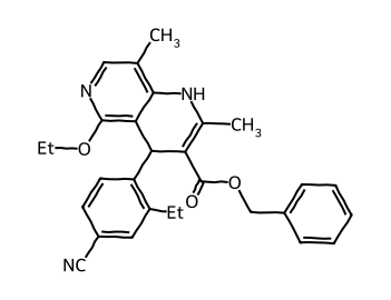 CCOc1ncc(C)c2c1C(c1ccc(C#N)cc1CC)C(C(=O)OCc1ccccc1)=C(C)N2